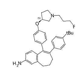 CC(C)(C)c1ccc(C2=C(c3ccc(O[C@H]4CCN(CCCF)C4)cc3)c3ccc(N)cc3CCC2)cc1